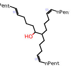 CCCCC/C=C\CCCC(CCC/C=C\CCCCC)C(O)CCC/C=C/CCCCC